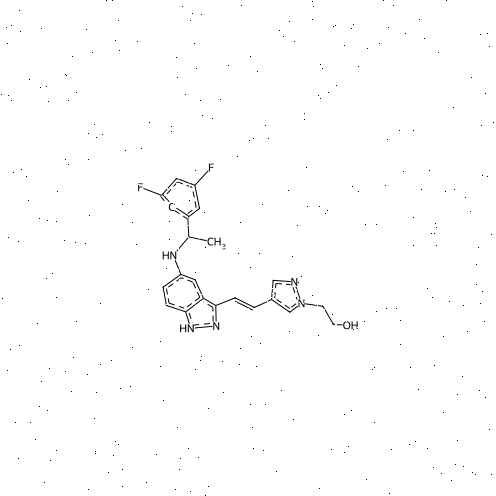 CC(Nc1ccc2[nH]nc(/C=C/c3cnn(CCO)c3)c2c1)c1cc(F)cc(F)c1